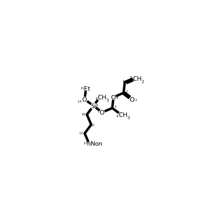 C=CC(=O)OC(C)O[Si](C)(CCCCCCCCCCCC)OCC